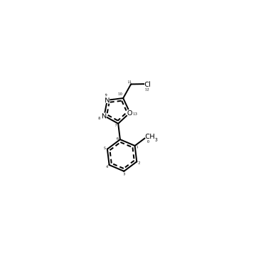 Cc1ccccc1-c1nnc(CCl)o1